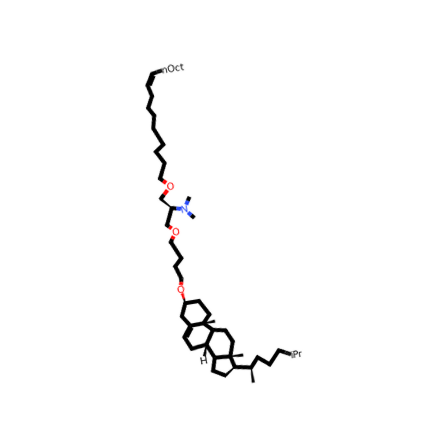 CCCCCCCC/C=C\CCCCCCCCOC[C@H](COCCCCO[C@H]1CC[C@@]2(C)C(=CC[C@@H]3C2CC[C@@]2(C)C3CC[C@@H]2[C@H](C)CCCC(C)C)C1)N(C)C